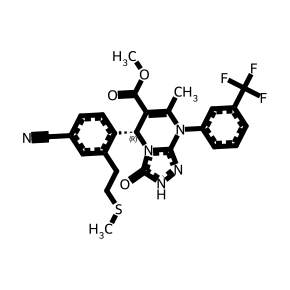 COC(=O)C1=C(C)N(c2cccc(C(F)(F)F)c2)c2n[nH]c(=O)n2[C@@H]1c1ccc(C#N)cc1CCSC